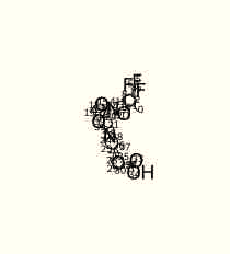 Cc1cc(C(F)(F)F)cc2c1OCN(C(=O)[C@@]1(C3CC3)CC[C@@H](N3CC[C@H](c4cccc(C(=O)O)c4)[C@@H](C)C3)CO1)C2